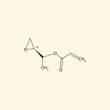 C=CC(=O)OC(C)[C@@H]1CO1